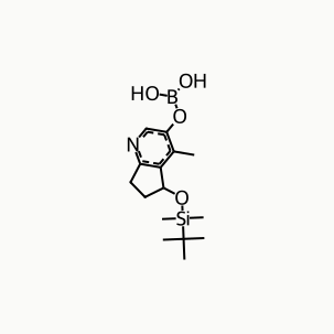 Cc1c(OB(O)O)cnc2c1C(O[Si](C)(C)C(C)(C)C)CC2